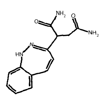 NC(=O)CC(C(N)=O)C1=NNc2ccccc2C=C1